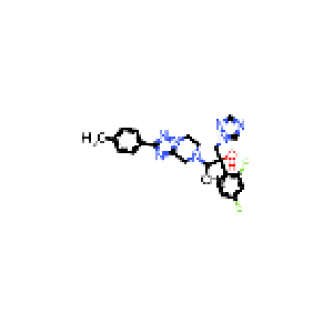 Cc1ccc(-c2nc3n(n2)CCN([C@H](C)[C@](O)(Cn2cncn2)c2ccc(F)cc2F)C3)cc1